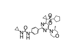 C[C@H]1COCCN1c1cc(C2(S(=O)(=O)C3CCCC3)CC2)nc(-c2ccc(NC(=O)NC3CC3)cc2)n1